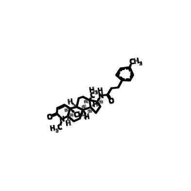 Cc1ccc(CCC(=O)N[C@H]2CC[C@H]3[C@@H]4CC[C@H]5N(C)C(=O)C=C[C@]5(C)[C@H]4CC[C@]23C)cc1